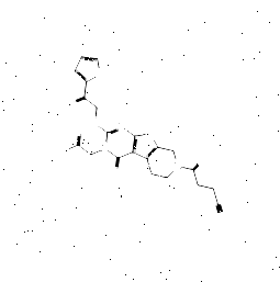 C#CCCC(=O)N1CCc2c(sc3nc(SCC(=O)c4cccs4)n(CC(=C)C)c(=O)c23)C1